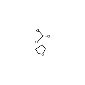 C1CCOC1.ClC(Cl)Cl